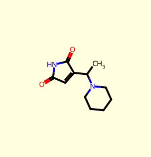 CC(C1=CC(=O)NC1=O)N1CCCCC1